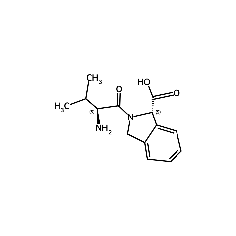 CC(C)[C@H](N)C(=O)N1Cc2ccccc2[C@H]1C(=O)O